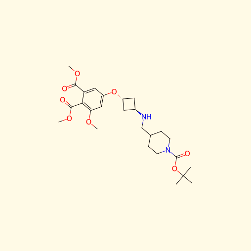 COC(=O)c1cc(O[C@H]2C[C@H](NCC3CCN(C(=O)OC(C)(C)C)CC3)C2)cc(OC)c1C(=O)OC